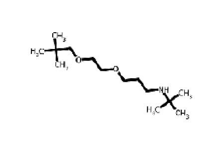 CC(C)(C)COCCOCCCNC(C)(C)C